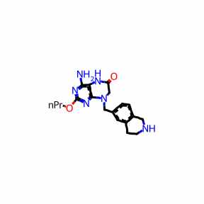 CCCOc1nc(N)c2c(n1)N(Cc1ccc3c(c1)CCNC3)CC(=O)N2